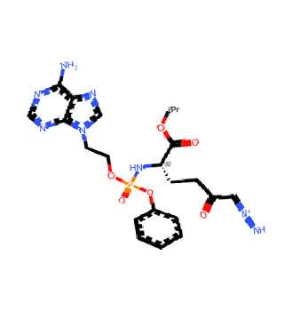 CC(C)OC(=O)[C@H](CCC(=O)C=[N+]=N)NP(=O)(OCCn1cnc2c(N)ncnc21)Oc1ccccc1